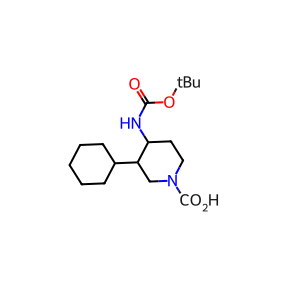 CC(C)(C)OC(=O)NC1CCN(C(=O)O)CC1C1CCCCC1